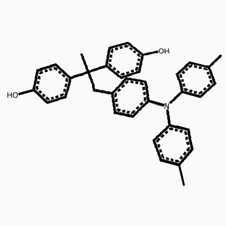 Cc1ccc(N(c2ccc(C)cc2)c2ccc(CC(C)(c3ccc(O)cc3)c3ccc(O)cc3)cc2)cc1